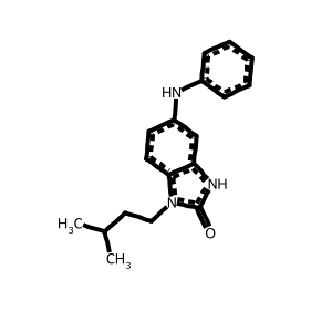 CC(C)CCn1c(=O)[nH]c2cc(Nc3ccccc3)ccc21